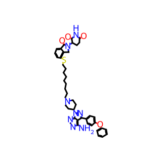 Nc1ncnc2c1c(-c1ccc(Oc3ccccc3)cc1)nn2C1CCN(CCCCCCCCCSc2cccc3c2CN(C2CCC(=O)NC2=O)C3=O)CC1